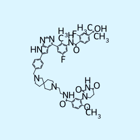 COc1ccc(C(=O)NCCN2CCC3(CC2)CCN(Cc2ccc(-c4cc5c(-c6cc(F)cc(NC(=O)c7ccc(C(C)(C)O)cc7F)c6C)ncnc5[nH]4)cc2)C3)cc1N1CCC(=O)NC1=O